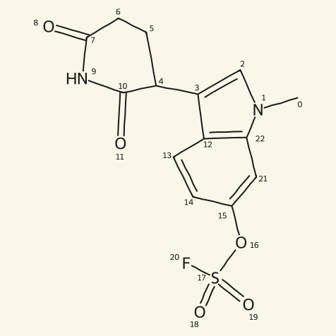 Cn1cc(C2CCC(=O)NC2=O)c2ccc(OS(=O)(=O)F)cc21